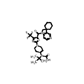 CC(C)(C)N(C(=O)O)C1CCN(c2nc(C(F)(F)F)c(C(=O)NCC3(c4cccnc4)CCCCC3)s2)CC1